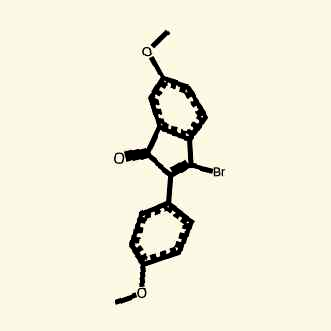 COc1ccc(C2=C(Br)c3ccc(OC)cc3C2=O)cc1